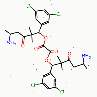 CC(N)CC(=O)C(C)(C)C(OC(=O)C(=O)OC(c1cc(Cl)cc(Cl)c1)C(C)(C)C(=O)CC(C)N)c1cc(Cl)cc(Cl)c1